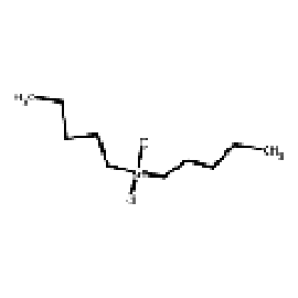 CCCC[CH2][Ge]([Cl])([Cl])[CH2]CCCC